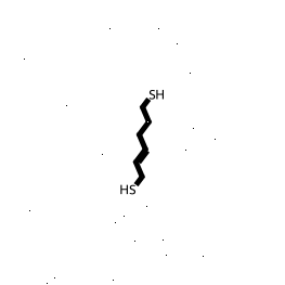 SCC=CCCCS